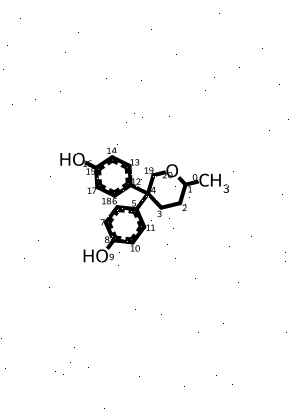 CC1CCC(c2ccc(O)cc2)(c2ccc(O)cc2)CO1